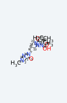 CN1C=C2C(=O)N(CCC3CCN(C(=O)[C@H](NC(=O)O)C(C)(C)C)CC3)CN2C1